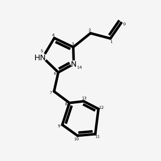 C=CCc1c[nH]c(Cc2ccccc2)n1